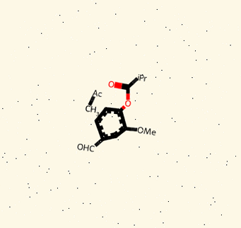 CC(C)=O.COc1cc(C=O)ccc1OC(=O)C(C)C